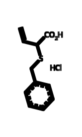 C=CC(SCc1ccccc1)C(=O)O.Cl